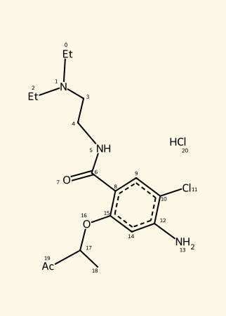 CCN(CC)CCNC(=O)c1cc(Cl)c(N)cc1OC(C)C(C)=O.Cl